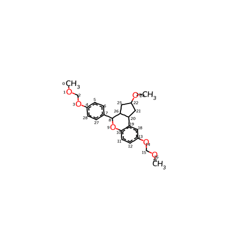 COCOc1ccc(C2Oc3ccc(OCOC)cc3C3CC(OC)CC32)cc1